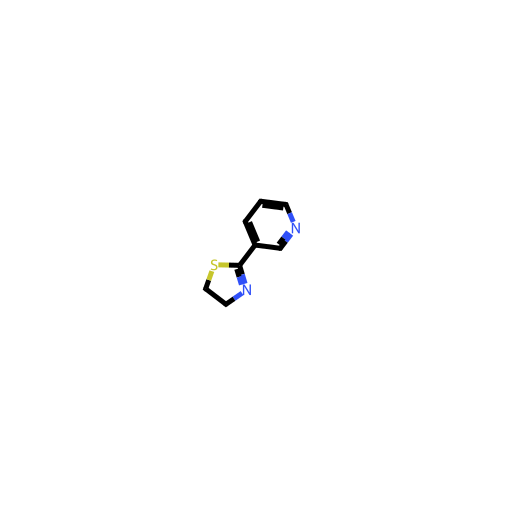 c1cncc(C2=NCCS2)c1